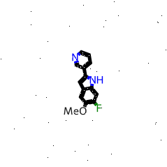 COc1cc2cc(-c3cccnc3)[nH]c2cc1F